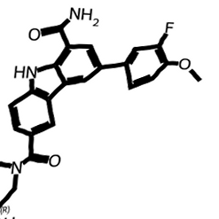 COc1ccc(-c2cc(C(N)=O)c3[nH]c4ccc(C(=O)N5CCC[C@@H](O)C5)cc4c3c2)cc1F